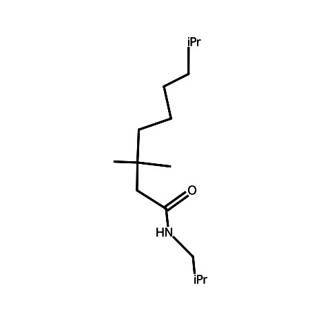 CC(C)CCCCC(C)(C)CC(=O)NCC(C)C